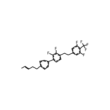 C/C=C/CCc1ccc(-c2ccc(CCc3cc(F)c(C(F)(F)F)c(F)c3)c(F)c2F)cc1